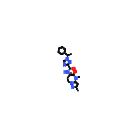 Cc1cc2n(n1)CC[C@H](NC(=O)c1ncn(C(C)c3ccccc3)n1)C(=O)N2C